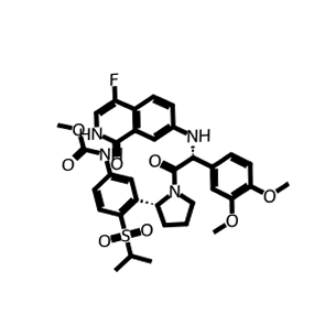 COC(=O)Nc1ccc(S(=O)(=O)C(C)C)c([C@H]2CCCN2C(=O)[C@H](Nc2ccc3c(F)c[nH]c(=O)c3c2)c2ccc(OC)c(OC)c2)c1